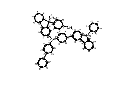 Cc1ccc(C2(C)c3ccccc3-c3ccc(N(c4ccc(-c5ccccc5)cc4)c4ccc(-c5ccc6c(c5)c5ccccc5n6-c5ccccc5)cc4)cc32)cc1